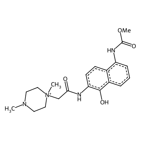 COC(=O)Nc1cccc2c(O)c(NC(=O)C[N+]3(C)CCN(C)CC3)ccc12